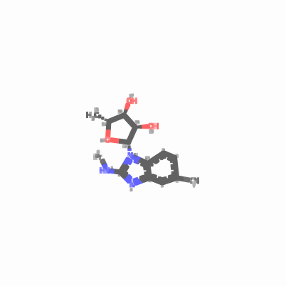 CC(C)Nc1nc2cc(C#N)ccc2n1[C@@H]1O[C@H](C)[C@@H](O)[C@H]1O